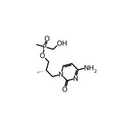 C[C@H](COP(C)(=O)CO)Cn1ccc(N)nc1=O